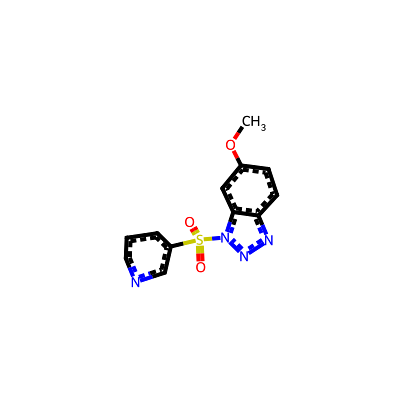 COc1ccc2nnn(S(=O)(=O)c3cccnc3)c2c1